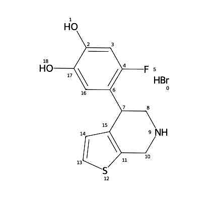 Br.Oc1cc(F)c(C2CNCc3sccc32)cc1O